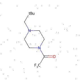 CC(C)(C)CN1CCN(C(=O)C(F)(F)F)CC1